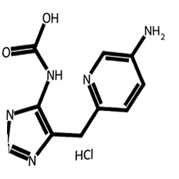 Cl.Nc1ccc(Cc2nn[nH]c2NC(=O)O)nc1